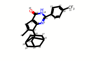 CC1=Cc2c(nc(-c3ccc(C(F)(F)F)cc3)[nH]c2=O)C1C12CC3CC(CC(C3)C1)C2